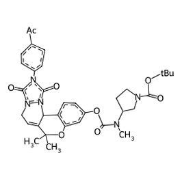 CC(=O)c1ccc(-n2c(=O)n3n(c2=O)C2C(=CC3)C(C)(C)Oc3cc(OC(=O)N(C)C4CCN(C(=O)OC(C)(C)C)C4)ccc32)cc1